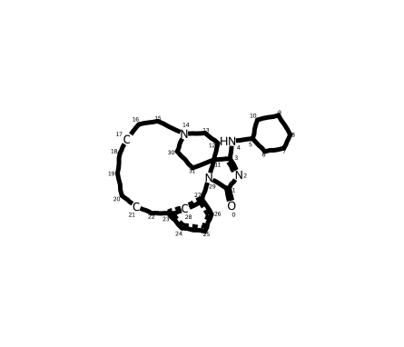 O=C1N=C(NC2CCCCC2)C23CCN(CCCCCCCCc4cccc(c4)N12)CC3